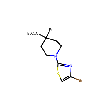 CCOC(=O)C1(CC)CCN(c2nc(Br)cs2)CC1